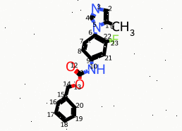 Cc1cncn1-c1ccc(NC(=O)OCc2ccccc2)cc1F